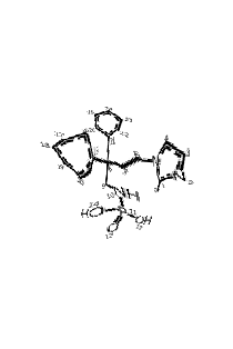 Cc1nccn1CCC(CNP(=O)(O)O)(c1ccccc1)c1ccccc1